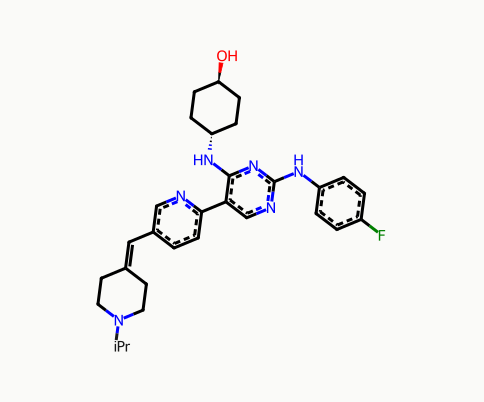 CC(C)N1CCC(=Cc2ccc(-c3cnc(Nc4ccc(F)cc4)nc3N[C@H]3CC[C@H](O)CC3)nc2)CC1